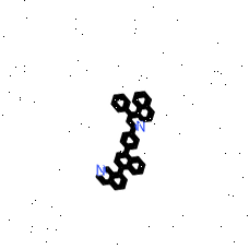 c1ccc(-c2cc(-c3ccc(-c4ccc(-c5cccc6ccncc56)c5ccccc45)cc3)nc3ccc4ccccc4c23)cc1